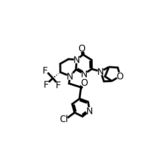 O=C(CN1c2nc(N3CC4CC3CO4)cc(=O)n2CC[C@H]1C(F)(F)F)c1cncc(Cl)c1